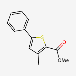 COC(=O)c1sc(-c2ccccc2)cc1C